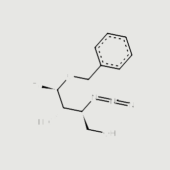 CC[C@@H](OCc1ccccc1)[C@@H](C)[C@H](CO)N=[N+]=[N-]